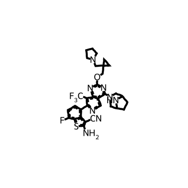 N#Cc1c(N)sc2c(F)ccc(-c3ncc4c(N5CC6CCC(C5)N6)nc(OCC5(CN6CCCC6)CC5)nc4c3C(F)(F)F)c12